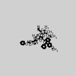 COc1ccc(C(OC[C@H]2O[C@@H](n3cnc4c(NC(=O)COc5ccccc5)ncnc43)[C@H](OC)[C@@H]2OP(OCCC#N)N(C(C)C)C(C)C)(c2ccccc2)c2ccc(OC)cc2)cc1